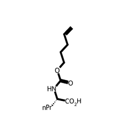 C=CCCCOC(=O)N[C@@H](CCC)C(=O)O